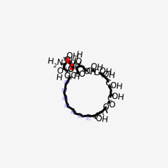 C[C@@H]1[C@H](O)[C@@H](C)/C=C/C=C/C=C/C=C/C=C/C=C/C=C/[C@H](O[C@@H]2O[C@H](C)[C@@H](O)[C@H](N)[C@@H]2O)C[C@@H]2O[C@](O)(C[C@@H](O)C[C@@H](O)[C@H](O)CC[C@@H](O)C[C@@H](O)CC(=O)O[C@H]1C)C[C@H](O)[C@H]2C(=O)NC[C@H](C)O